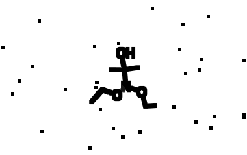 CCON(OCC)C(C)(C)O